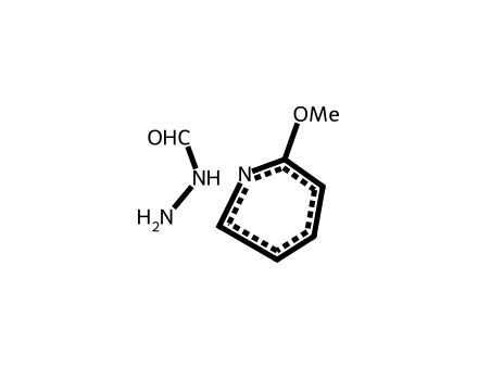 COc1ccccn1.NNC=O